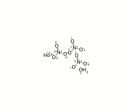 O.O=[N+]([O-])[O-].O=[N+]([O-])[O-].O=[N+]([O-])[O-].[Ho+3]